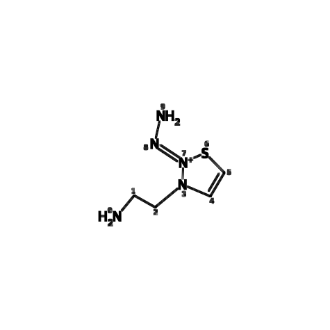 NCCN1C=CS[N+]1=NN